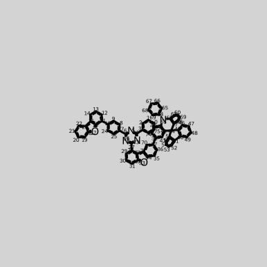 c1ccc(-c2nc(-c3ccc(-c4cccc5c4oc4ccccc45)cc3)nc(-c3cccc4oc5ccc(-c6ccc7c(c6)C6(c8ccccc8-c8ccccc86)c6ccccc6N7c6ccccc6)cc5c34)n2)cc1